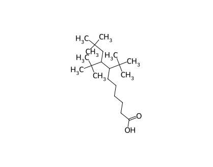 CC(C)(C)CC(C(CCCCCC(=O)O)C(C)(C)C)C(C)(C)C